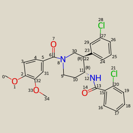 COc1ccc(C(=O)N2CC[C@@H](NC(=O)c3ccccc3Cl)[C@H](c3cccc(Cl)c3)C2)cc1OC